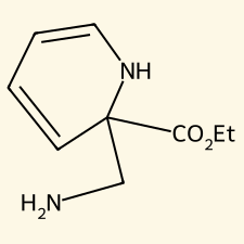 CCOC(=O)C1(CN)C=CC=CN1